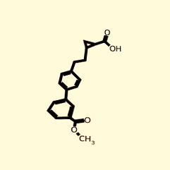 COC(=O)c1cccc(-c2ccc(CCC3CC3C(=O)O)cc2)c1